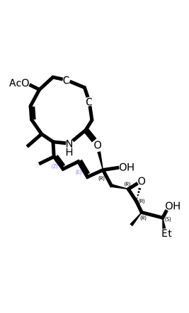 CC[C@H](O)[C@@H](C)[C@H]1O[C@@H]1C[C@@](C)(O)/C=C/C=C(/C)C1NC(=O)CCCCCC(OC(C)=O)C=CC1C